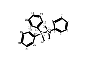 C[Si](C)(c1ccccc1)[Si](C)(c1ccccc1)c1ccccc1